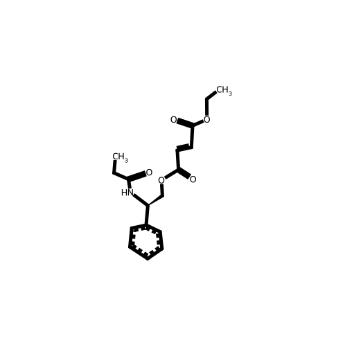 CCOC(=O)/C=C/C(=O)OC[C@H](NC(=O)CC)c1ccccc1